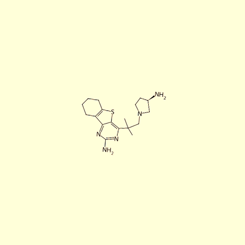 CC(C)(CN1CC[C@@H](N)C1)c1nc(N)nc2c3c(sc12)CCCC3